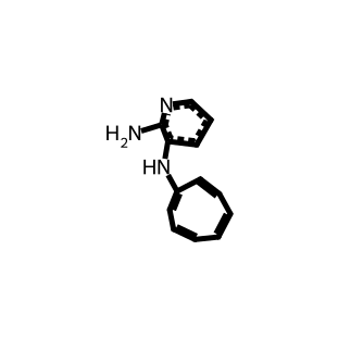 Nc1ncccc1NC1=C/C=C\C=C/C=C\1